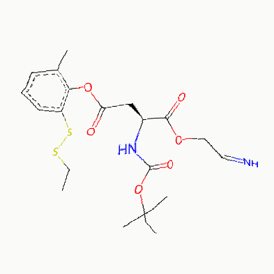 CCSSc1cccc(C)c1OC(=O)C[C@H](NC(=O)OC(C)(C)C)C(=O)OCC=N